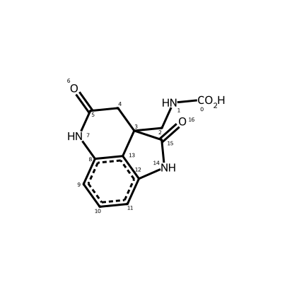 O=C(O)NCC12CC(=O)Nc3cccc(c31)NC2=O